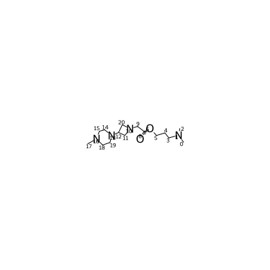 CN(C)CCCOC(=O)CN1CC(N2CCN(C)CC2)C1